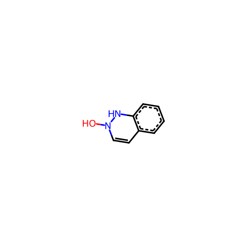 ON1C=Cc2ccccc2N1